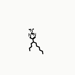 CCCCCCC(CCCC)c1cnc(N(C)C)nc1